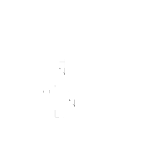 CCN(Cc1ccccc1)C1CCNC1=O.c1cc2ccc1-2